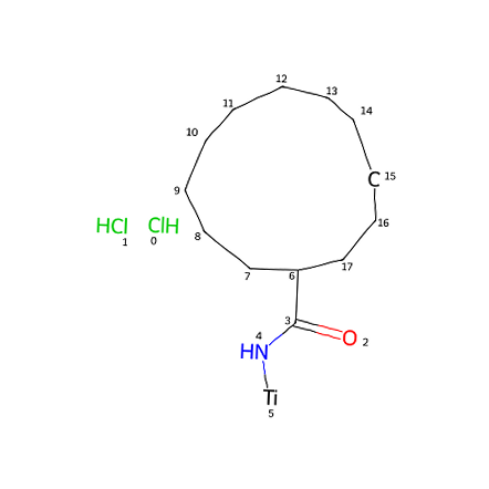 Cl.Cl.O=C([NH][Ti])C1CCCCCCCCCCC1